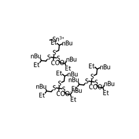 CCCCC(CC)CSC(SCC(CC)CCCC)(SCC(CC)CCCC)C(=O)[O-].CCCCC(CC)CSC(SCC(CC)CCCC)(SCC(CC)CCCC)C(=O)[O-].CCCCC(CC)CSC(SCC(CC)CCCC)(SCC(CC)CCCC)C(=O)[O-].[CH3][Sn+3]